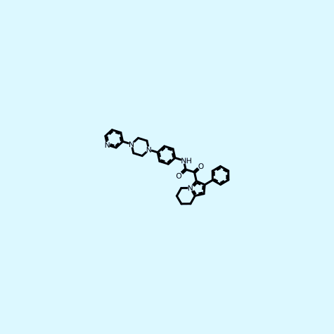 O=C(Nc1ccc(N2CCN(c3cccnc3)CC2)cc1)C(=O)c1c(-c2ccccc2)cc2n1CCCC2